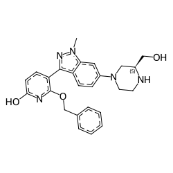 Cn1nc(-c2ccc(O)nc2OCc2ccccc2)c2ccc(N3CCN[C@H](CO)C3)cc21